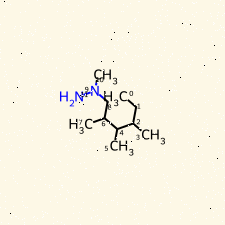 CCC(C)C(C)C(C)CN(C)N